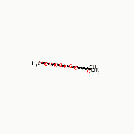 COCCOCCOCCOCCOCCOCCOCCOCCCCCCCC(=O)C(C)C